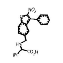 CC(C)C(NCc1ccc2oc([N+](=O)[O-])c(-c3ccccc3)c2c1)C(=O)O